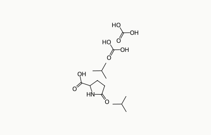 CC(C)C.CC(C)C.O=C(O)O.O=C(O)O.O=C1CCC(C(=O)O)N1